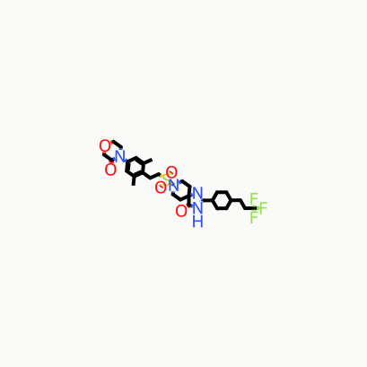 Cc1cc(N2CCOCC2=O)cc(C)c1CCS(=O)(=O)N1CCC2(CC1)N=C(C1CCC(CCC(F)(F)F)CC1)NC2=O